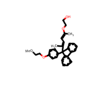 COCCOc1ccc(C2(/C(C)=C/C=C(\C)OCCO)c3ccccc3-c3ccccc32)cc1